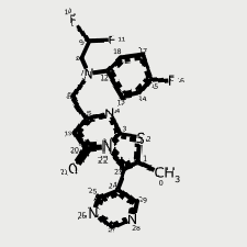 Cc1sc2nc(CN(CC(F)F)c3ccc(F)cc3)cc(=O)n2c1-c1cncnc1